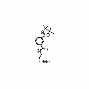 COCCNC(=O)c1cccc(B2OC(C)(C)C(C)(C)O2)c1